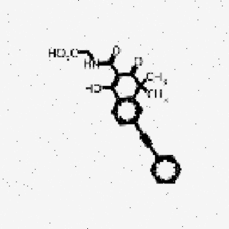 CC1(C)C(=O)C(C(=O)NCC(=O)O)=C(O)c2ccc(C#Cc3ccccc3)cc21